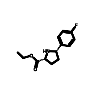 CCOC(=O)[C@H]1CC[C@@H](c2ccc(F)cc2)N1